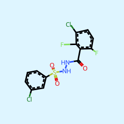 O=C(NNS(=O)(=O)c1cccc(Cl)c1)c1c(F)ccc(Cl)c1F